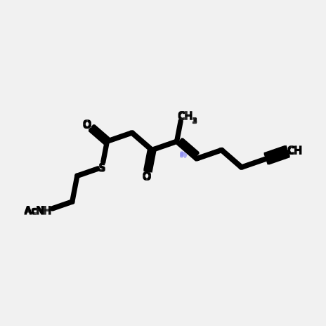 C#CCC/C=C(\C)C(=O)CC(=O)SCCNC(C)=O